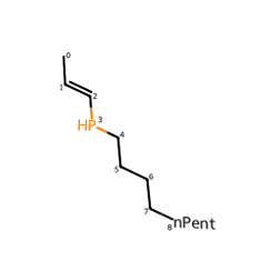 CC=CPCCCCCCCCC